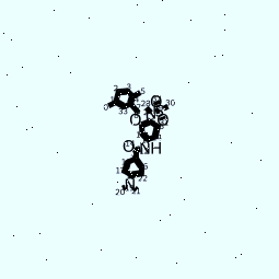 Cc1ccc(C)c(COc2cc(NC(=O)c3ccc(N(C)C)cc3)ccc2N(C)S(C)(=O)=O)c1